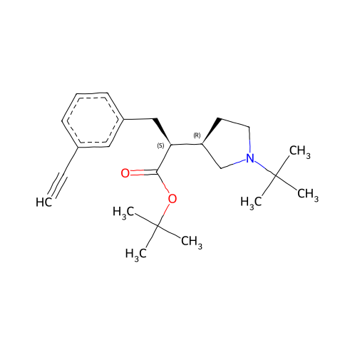 C#Cc1cccc(C[C@H](C(=O)OC(C)(C)C)[C@H]2CCN(C(C)(C)C)C2)c1